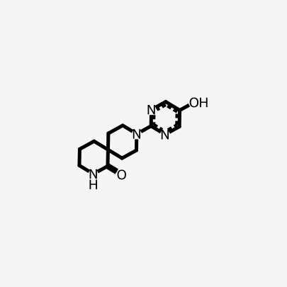 O=C1NCCCC12CCN(c1ncc(O)cn1)CC2